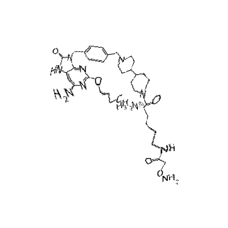 CCCCOc1nc(N)c2[nH]c(=O)n(Cc3ccc(CN4CCC(C5CCN(C(=O)[C@@H](N)CCCCNC(=O)CON)CC5)CC4)cc3)c2n1